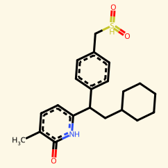 Cc1ccc(C(CC2CCCCC2)c2ccc(C[SH](=O)=O)cc2)[nH]c1=O